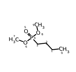 CC[CH]CP(=O)(OC)OC